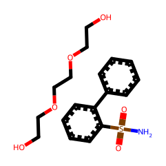 NS(=O)(=O)c1ccccc1-c1ccccc1.OCCOCCOCCO